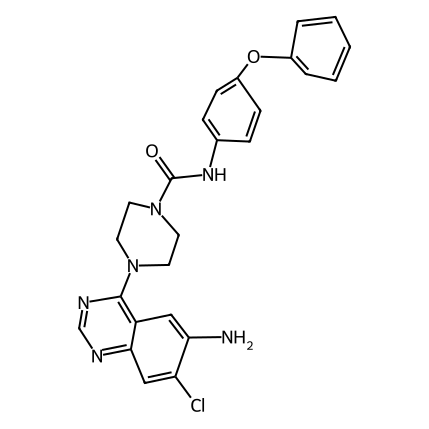 Nc1cc2c(N3CCN(C(=O)Nc4ccc(Oc5ccccc5)cc4)CC3)ncnc2cc1Cl